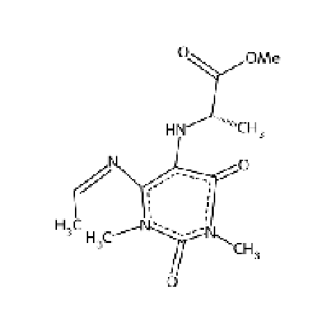 C/C=N\c1c(N[C@@H](C)C(=O)OC)c(=O)n(C)c(=O)n1C